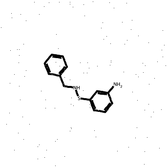 Nc1cccc(SNCc2ccccc2)c1